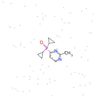 Cc1nccc(P(=O)(C2CC2)C2CC2)n1